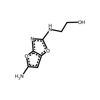 Nc1cc2oc(NCCO)nc2o1